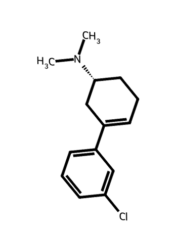 CN(C)[C@@H]1CCC=C(c2cccc(Cl)c2)C1